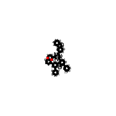 c1ccc(-c2cc(-c3ccccc3)c3oc4c(-c5ccccc5)ccc(-c5nc(-c6ccccc6)nc(-c6ccc7oc8ccccc8c7c6)n5)c4c3c2)cc1